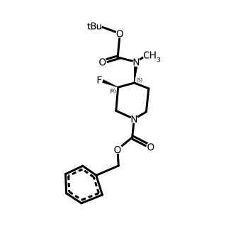 CN(C(=O)OC(C)(C)C)[C@H]1CCN(C(=O)OCc2ccccc2)C[C@H]1F